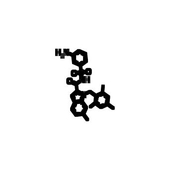 Cc1cc(C)c(Cn2c(C(=O)NS(=O)(=O)c3cccc(N)c3)cc3ccc(C)cc32)c(C)c1